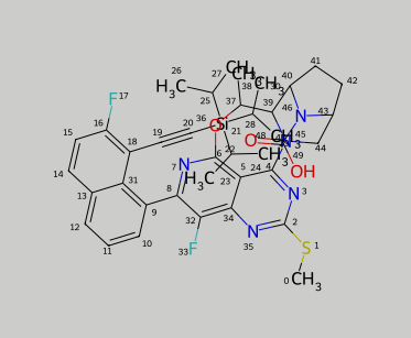 CSc1nc2c3c(nc(-c4cccc5ccc(F)c(C#C[Si](C(C)C)(C(C)C)C(C)C)c45)c(F)c3n1)OC(C)C1C3CCC(CN21)N3C(=O)O